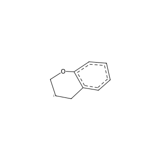 [C]1COc2ccccc2C1